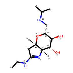 CCNC1=N[C@@H]2[C@@H](O)[C@H](O)[C@@H](CNC(C)C)O[C@@H]2C1